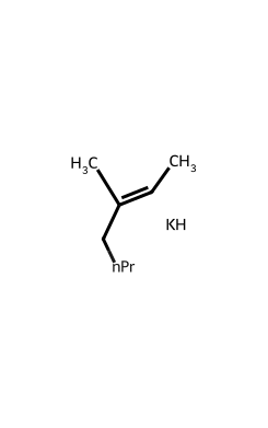 CC=C(C)CCCC.[KH]